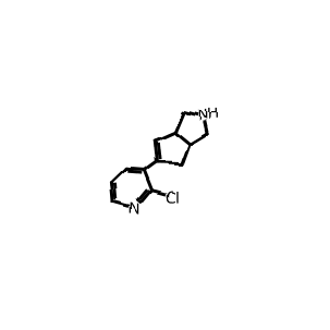 Clc1ncccc1C1=CC2CNCC2C1